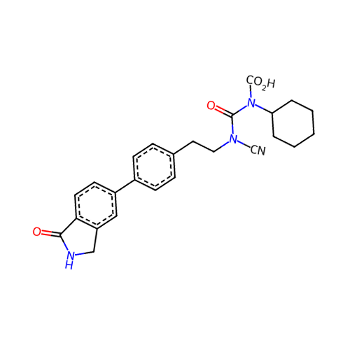 N#CN(CCc1ccc(-c2ccc3c(c2)CNC3=O)cc1)C(=O)N(C(=O)O)C1CCCCC1